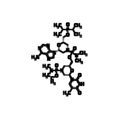 COP(=O)(N(C)C)N1C[C@@H](COP(=O)(N(C)C)N2C[C@@H](COP(=O)(C(C)C)C(C)C)O[C@@H](n3cnc4c(N)ncnc43)C2)O[C@@H](n2cc(C)c(=O)[nH]c2=O)C1